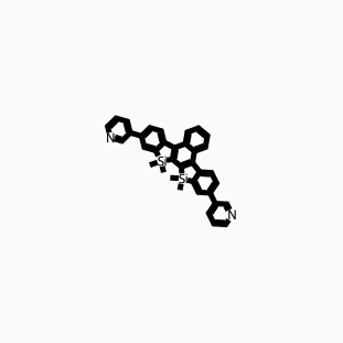 C[Si]1(C)c2cc(-c3cccnc3)ccc2-c2c1c1c(c3ccccc23)-c2ccc(-c3cccnc3)cc2[Si]1(C)C